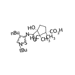 CCCCc1cn(C(C)(C)C)s/c1=N\C(=O)[C@@]1(O)CC[C@](C)(C(=O)O)C1(C)C